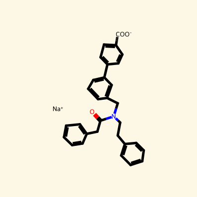 O=C([O-])c1ccc(-c2cccc(CN(CCc3ccccc3)C(=O)Cc3ccccc3)c2)cc1.[Na+]